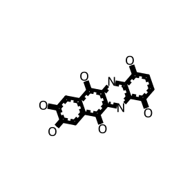 O=c1cc2c(=O)c3nc4c(=O)ccc(=O)c4nc3c(=O)c2cc1=O